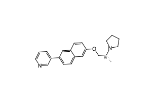 C[C@H](COc1ccc2cc(-c3cccnc3)ccc2c1)N1CCCC1